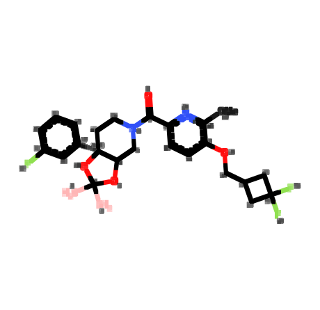 BC1(B)OC2CN(C(=O)c3ccc(OCC4CC(F)(F)C4)c(OC)n3)CC[C@]2(c2cccc(F)c2)O1